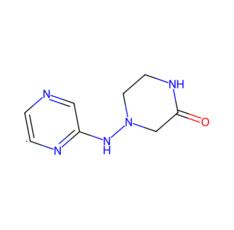 O=C1CN(Nc2cnc[c]n2)CCN1